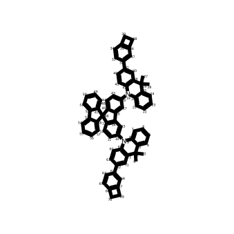 CC1(C)c2ccccc2N(c2ccc3c(c2)-c2cc(N4c5ccccc5C(C)(C)c5cc(-c6ccc7c(c6)CC7)ccc54)ccc2C32c3ccccc3-c3ccccc32)c2ccc(-c3ccc4c(c3)CC4)cc21